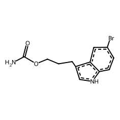 NC(=O)OCCCc1c[nH]c2ccc(Br)cc12